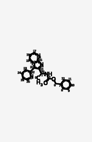 C[C@H](NC(=O)OCc1ccccc1)c1nc2ncccn2c1-c1ccccn1